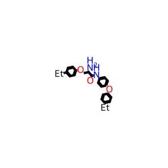 CCc1ccc(OC[C@H](N)C(=O)Nc2ccc(Oc3ccc(CC)cc3)cc2)cc1